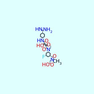 CN(CC(=O)O)C(=O)c1cc(F)cc(N2CCO[C@H]([C@@H](O)C(=O)Nc3ccc(C(=N)N)cc3)C2=O)c1